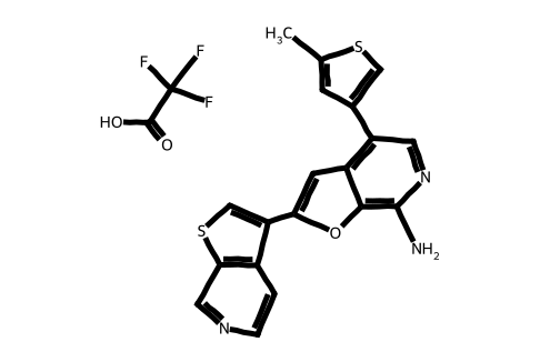 Cc1cc(-c2cnc(N)c3oc(-c4csc5cnccc45)cc23)cs1.O=C(O)C(F)(F)F